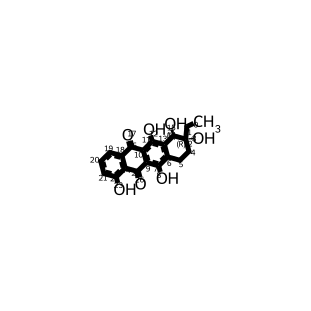 CC[C@@]1(O)CCc2c(O)c3c(c(O)c2[C@H]1O)C(=O)c1cccc(O)c1C3=O